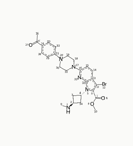 CN[C@H]1C[C@H](n2c(C(=O)OC)c(Br)c3ccc(N4CCN(c5ccc(C(C)=O)cc5)CC4)nc32)C1